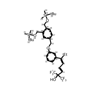 CC/C(=C/C=C/C(O)(C(F)(F)F)C(F)(F)F)c1cccc(OCc2ccc(CO[Si](C)(C)C(C)(C)C)c(CO[Si](C)(C)C(C)(C)C)c2)c1